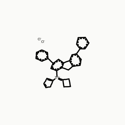 C1=CC[C]([Zr+2](=[C]2CCC2)[c]2cc(-c3ccccc3)cc3c2Cc2ccc(-c4ccccc4)cc2-3)=C1.[Cl-].[Cl-]